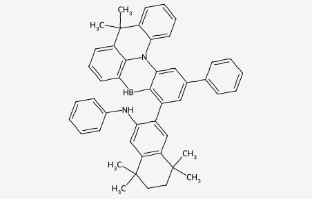 CC1(C)CCC(C)(C)c2cc(-c3cc(-c4ccccc4)cc4c3Bc3cccc5c3N4c3ccccc3C5(C)C)c(Nc3ccccc3)cc21